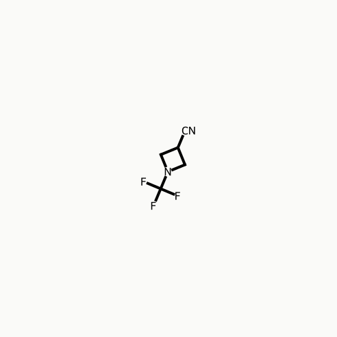 N#CC1CN(C(F)(F)F)C1